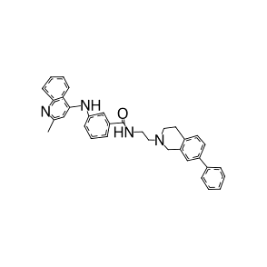 Cc1cc(Nc2cccc(C(=O)NCCN3CCc4ccc(-c5ccccc5)cc4C3)c2)c2ccccc2n1